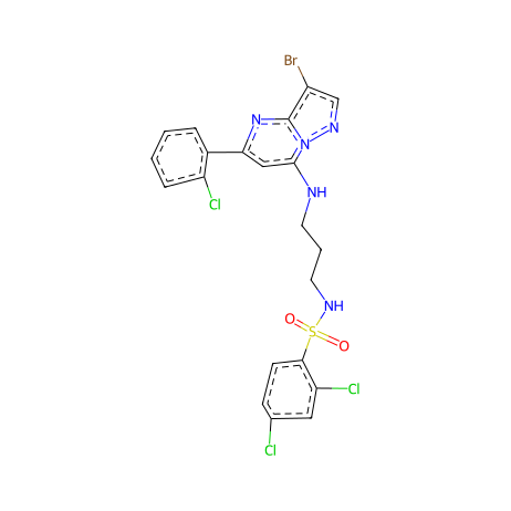 O=S(=O)(NCCCNc1cc(-c2ccccc2Cl)nc2c(Br)cnn12)c1ccc(Cl)cc1Cl